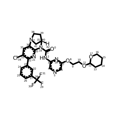 O=C(Nc1cncc(OCCOC2CCCCO2)n1)N1c2nc(-c3cccc(C(F)(F)F)c3)c(Cl)cc2N2CC[C@H]1C2